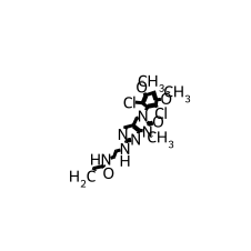 C=CC(=O)NCCNc1ncc2c(n1)N(C)C(=O)N(c1c(Cl)c(OC)cc(OC)c1Cl)C2